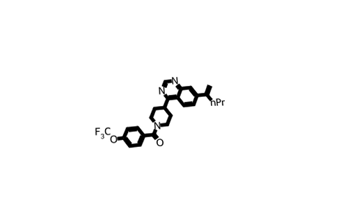 C=C(CCC)c1ccc2c(C3CCN(C(=O)c4ccc(OC(F)(F)F)cc4)CC3)ncnc2c1